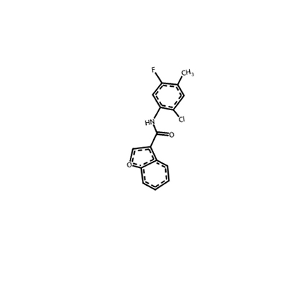 Cc1cc(Cl)c(NC(=O)c2coc3ccccc23)cc1F